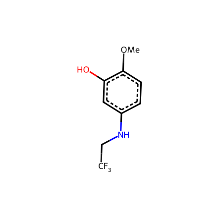 COc1ccc(NCC(F)(F)F)cc1O